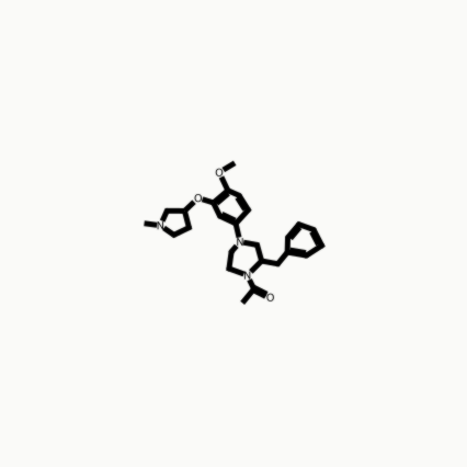 COc1ccc(N2CCN(C(C)=O)C(Cc3ccccc3)C2)cc1OC1CCN(C)C1